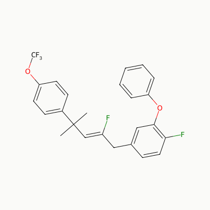 CC(C)(C=C(F)Cc1ccc(F)c(Oc2ccccc2)c1)c1ccc(OC(F)(F)F)cc1